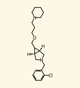 Clc1ccccc1CN1C[C@@H]2C(COCCCN3CCCCC3)[C@@H]2C1